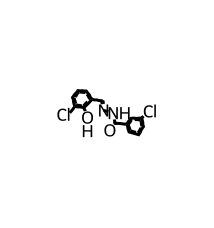 O=C(N/N=C/c1cccc(Cl)c1O)c1cccc(Cl)c1